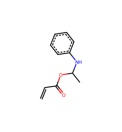 C=CC(=O)OC(C)Nc1ccccc1